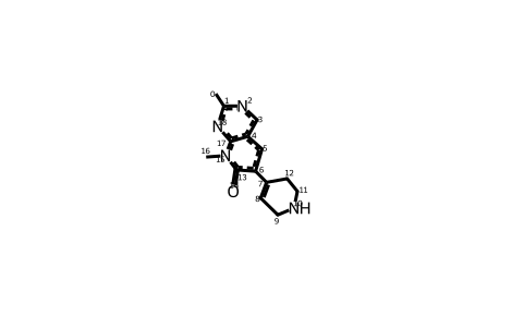 Cc1ncc2cc(C3=CCNCC3)c(=O)n(C)c2n1